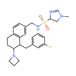 CN1C=NC(S(=O)(=O)NCc2ccc3c(c2)C(Cc2cccc(F)c2)C(N2CCC2)CC3)C1